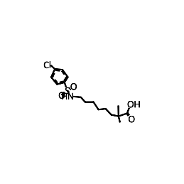 CC(C)(CCCCCCNS(=O)(=O)c1ccc(Cl)cc1)C(=O)O